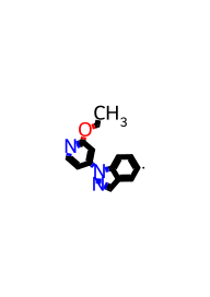 CCOc1cc(-n2ncc3c[c]ccc32)ccn1